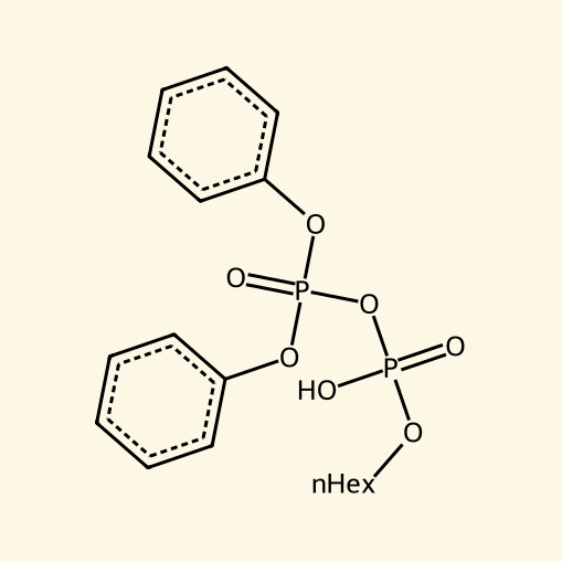 CCCCCCOP(=O)(O)OP(=O)(Oc1ccccc1)Oc1ccccc1